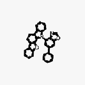 c1ccc(-c2cc(-n3c4ccccc4c4ccc5c6ccccc6oc5c43)c3ncoc3c2)cc1